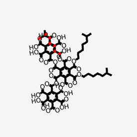 CC(C)CCCCCOC(=O)c1c(C(=O)O)c(C(=O)OC(=O)c2c(C(=O)O)c(C(=O)O)c(C(=O)O)c(C(=O)O)c2C(=O)O)c(C(=O)OC(=O)c2c(C(=O)O)c(C(=O)O)c(C(=O)O)c(C(=O)O)c2C(=O)O)c(C(=O)OCCCCCC(C)C)c1C(=O)OCCCCCC(C)C